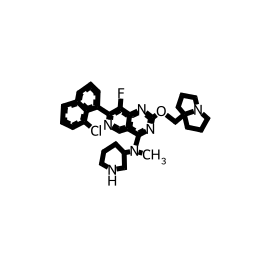 CN(c1nc(OCC23CCCN2CCC3)nc2c(F)c(-c3cccc4cccc(Cl)c34)ncc12)C1CCCNC1